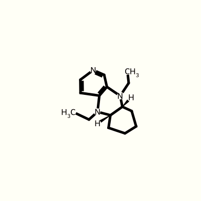 CCN1c2cnccc2N(CC)[C@H]2CCCC[C@H]21